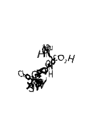 Cc1sc2c(c1C)C(c1ccc(Cl)cc1)=N[C@@H](CC(=O)N1CCC(C(=O)Nc3ccc(C(=O)O)c(CCCNC(=O)OC(C)(C)C)c3)CC1)c1nnc(C)n1-2